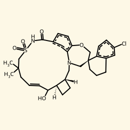 CC1(C)C/C=C/C(O)[C@@H]2CC[C@H]2CN2C[C@@]3(CCCc4cc(Cl)ccc43)COc3ccc(cc32)C(=O)NS(=O)(=O)C1